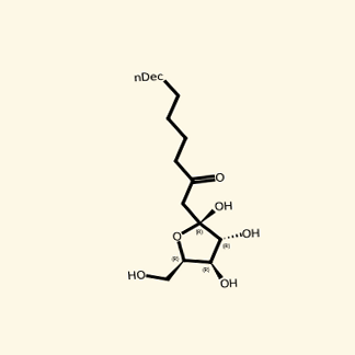 CCCCCCCCCCCCCCC(=O)C[C@@]1(O)O[C@H](CO)[C@H](O)[C@H]1O